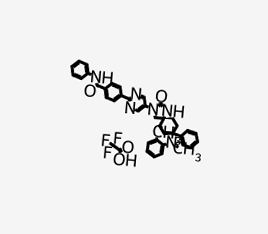 Cc1ccccc1N(C)[C@]1(c2ccccc2)CC[C@@]2(CC1)CN(c1cnc(-c3ccc(C(=O)Nc4ccccc4)cc3)nc1)C(=O)N2.O=C(O)C(F)(F)F